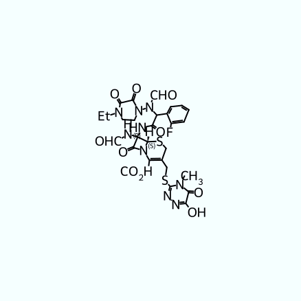 CCN1CCN(N(C=O)C(C(=O)N[C@]2(NC=O)C(=O)N3C(C(=O)O)=C(CSc4nnc(O)c(=O)n4C)CS[C@H]32)c2ccccc2F)C(=O)C1=O